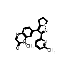 Cc1cccc(-c2nn3c(c2-c2ccc4ncc(=O)n(C)c4c2)CCC3)n1